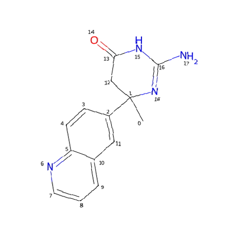 CC1(c2ccc3ncccc3c2)CC(=O)NC(N)=N1